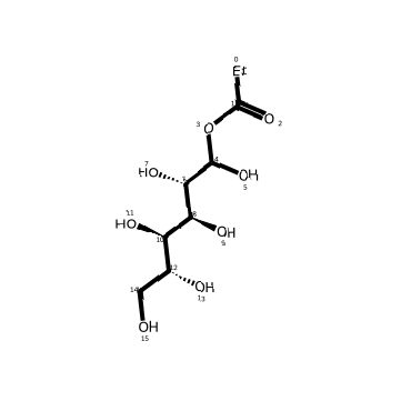 CCC(=O)OC(O)[C@@H](O)[C@@H](O)[C@H](O)[C@H](O)CO